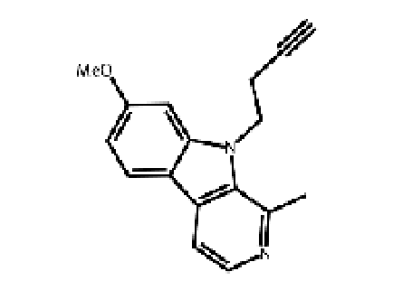 C#CCCn1c2cc(OC)ccc2c2ccnc(C)c21